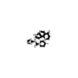 C[C@@H]1CCN(C(=O)Nc2nncs2)C[C@@H]1n1ccc(=O)c2cnc3[nH]ccc3c21